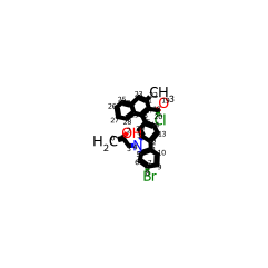 C=C(O)Cn1c2cc(Br)ccc2c2ccc(-c3c(C(=O)Cl)c(C)cc4ccccc34)cc21